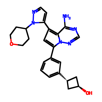 Nc1ncnn2c(-c3cccc([C@H]4C[C@H](O)C4)c3)cc(-c3ccnn3C3CCOCC3)c12